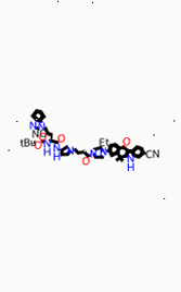 CCc1cc2c(cc1N1CCN(C(=O)CCCN3CC[C@@H](NC(=O)[C@H](CCCn4c([N+](=O)[O-])nc5ccccc54)NC(=O)OC(C)(C)C)C3)CC1)C(C)(C)c1[nH]c3cc(C#N)ccc3c1C2=O